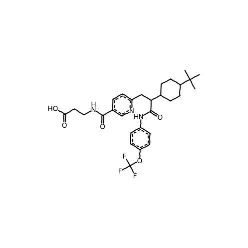 CC(C)(C)C1CCC(C(Cc2ccc(C(=O)NCCC(=O)O)cn2)C(=O)Nc2ccc(OC(F)(F)F)cc2)CC1